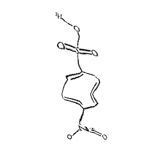 [2H]OS(=O)(=O)c1ccc([N+](=O)[O-])cc1